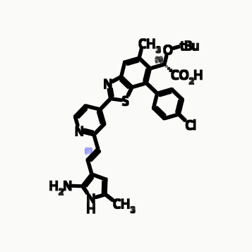 Cc1cc(/C=C/c2cc(-c3nc4cc(C)c([C@H](OC(C)(C)C)C(=O)O)c(-c5ccc(Cl)cc5)c4s3)ccn2)c(N)[nH]1